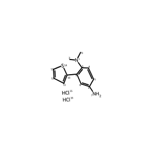 CN(C)c1ccc(N)cc1-c1cccs1.Cl.Cl